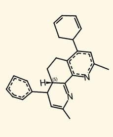 CC1=CC(c2ccccc2)[C@@H]2CCc3c(C4C=CC=CC4)cc(C)nc3C2=N1